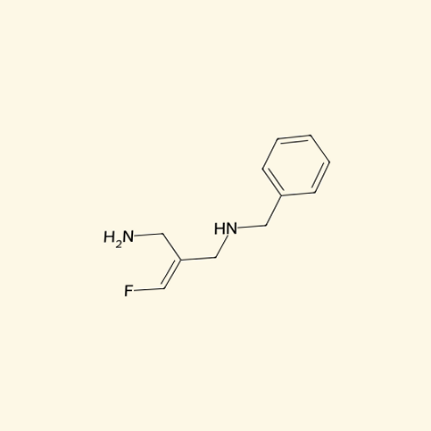 NC/C(=C\F)CNCc1ccccc1